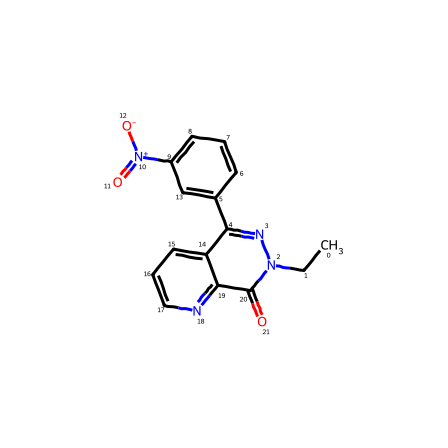 CCn1nc(-c2cccc([N+](=O)[O-])c2)c2cccnc2c1=O